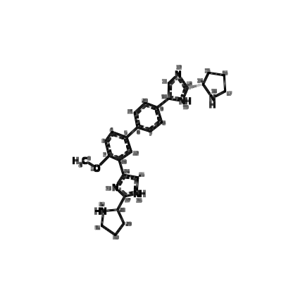 COc1ccc(-c2ccc(-c3cnc([C@@H]4CCCN4)[nH]3)cc2)cc1-c1c[nH]c(C2CCCN2)n1